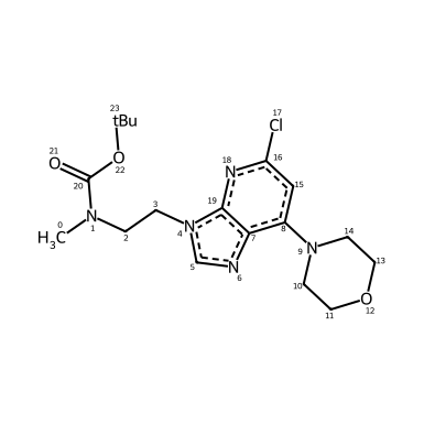 CN(CCn1cnc2c(N3CCOCC3)cc(Cl)nc21)C(=O)OC(C)(C)C